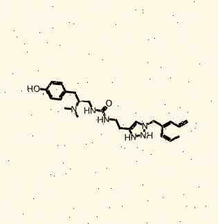 C=C/C=C(\C=C/C)CN1C=C(CCNC(=O)NC[C@H](Cc2ccc(O)cc2)N(C)C)NN1